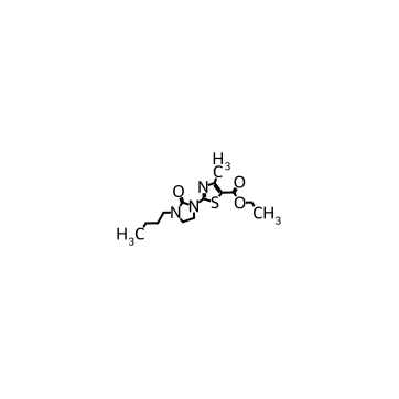 CCCCN1CCN(c2nc(C)c(C(=O)OCC)s2)C1=O